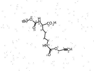 C#CCOC(=O)NCCCCC(NC(=O)OC(C)(C)C)C(=O)O